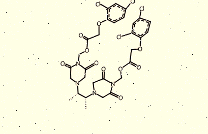 C[C@H]([C@H](C)N1CC(=O)N(COC(=O)COc2ccc(Cl)cc2Cl)C(=O)C1)N1CC(=O)N(COC(=O)COc2ccc(Cl)cc2Cl)C(=O)C1